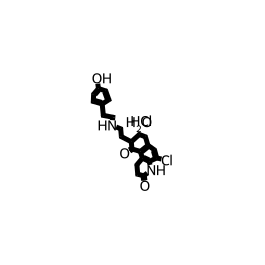 Cl.O.O=C1CCc2c(c(Cl)cc3c2C(=O)C(CCNCCc2ccc(O)cc2)CC3)N1